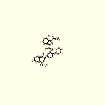 CC(n1nc(C(=O)Nc2cc(C(=O)Nc3ccc(F)cc3CC(=O)O)ccc2N2CCCCC2)c2ccccc21)C(F)(F)F